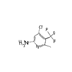 Cc1nc(N)cc(Cl)c1C(F)(F)F